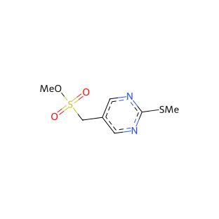 COS(=O)(=O)Cc1cnc(SC)nc1